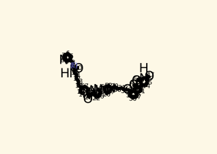 O=C(/C=C/c1cccnc1)NCCCCC1CCN(C(=O)c2ccc(N3CCN(CCCCOc4cccc5c4C(=O)N(C4CCC(=O)NC4=O)C5)CC3)nn2)CC1